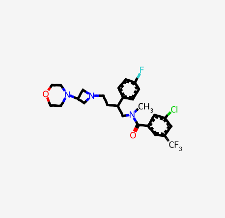 CN(CC(CCN1CC(N2CCOCC2)C1)c1ccc(F)cc1)C(=O)c1cc(Cl)cc(C(F)(F)F)c1